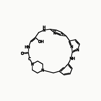 O=C1CN2CCN(CC2)Cc2cccc(c2)Nc2nccc(n2)-c2ccc(nc2)NC/C(O)=C/N1